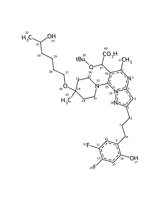 Cc1nc2cc(CCCc3cc(F)c(F)cc3O)nn2c(N2CCC(C)(OCCCCC(C)O)CC2)c1C(OC(C)(C)C)C(=O)O